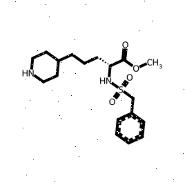 COC(=O)[C@@H](CCCC1CCNCC1)NS(=O)(=O)Cc1ccccc1